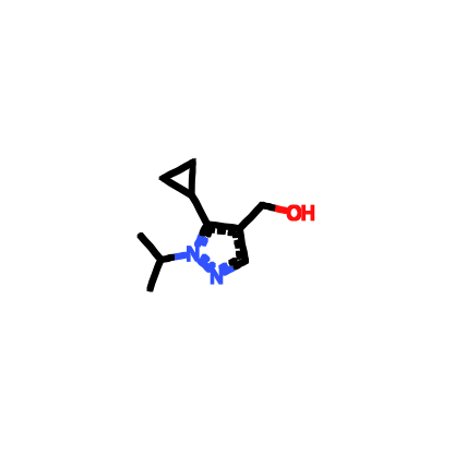 CC(C)n1ncc(CO)c1C1CC1